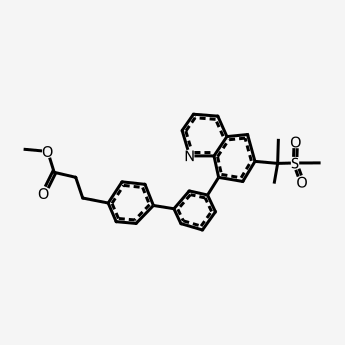 COC(=O)CCc1ccc(-c2cccc(-c3cc(C(C)(C)S(C)(=O)=O)cc4cccnc34)c2)cc1